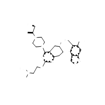 C=CC(=O)N1CCN(c2nc(OCCN(C)C)nc3c2C[C@@H](C)[C@H](c2c(Cl)c(C)cc4[nH]ncc24)C3)CC1